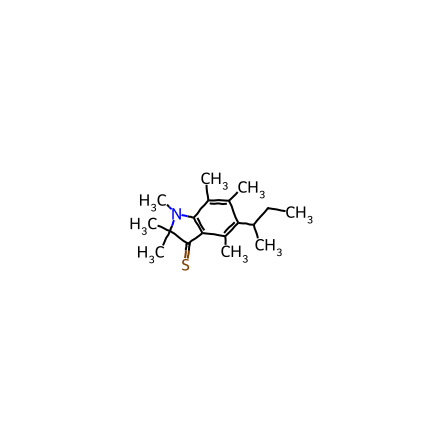 CCC(C)c1c(C)c(C)c2c(c1C)C(=S)C(C)(C)N2C